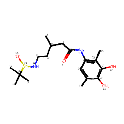 Cc1cc(NC(=O)CC(C)CCN[S+]([O-])C(C)(C)C)c(C)c(O)c1O